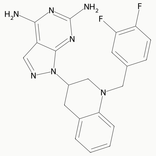 Nc1nc(N)c2cnn(C3Cc4ccccc4N(Cc4ccc(F)c(F)c4)C3)c2n1